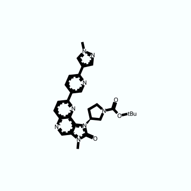 Cn1cc(-c2ccc(-c3ccc4ncc5c(c4n3)n([C@H]3CCN(C(=O)OC(C)(C)C)C3)c(=O)n5C)cn2)cn1